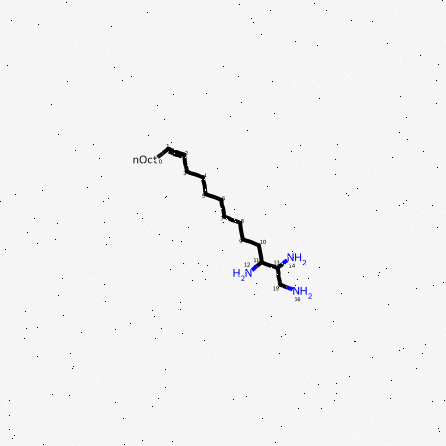 CCCCCCCC/C=C\CCCCCCCCC(N)C(N)CN